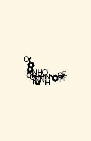 CC(=O)c1ccc2c(c1)C[C@@H](O)[C@@H]2NC(=O)c1cc(C(=O)NCc2cccc(OC(F)(F)F)c2)nc2ccnn12